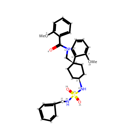 COc1ccccc1C(=O)NC[C@]1(c2ccccc2OC)CC[C@H](NS(=O)(=O)NCc2ccccc2)CC1